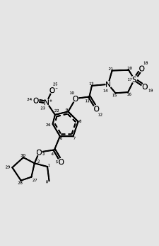 CCC1(OC(=O)c2ccc(OC(=O)CN3CCS(=O)(=O)CC3)c([N+](=O)[O-])c2)CCCC1